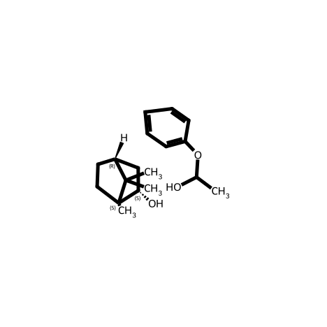 CC(O)Oc1ccccc1.CC1(C)[C@@H]2CC[C@]1(C)[C@@H](O)C2